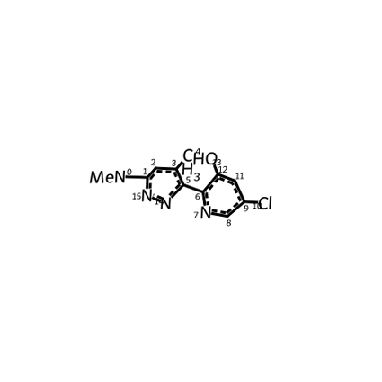 CNc1cc(C)c(-c2ncc(Cl)cc2O)nn1